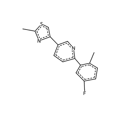 Cc1nc(-c2ccc(-c3cc(F)ccc3C)nc2)cs1